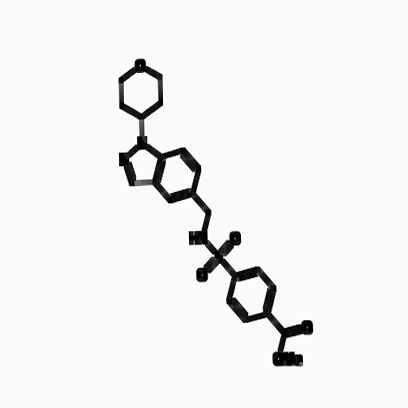 COC(=O)c1ccc(S(=O)(=O)NCc2ccc3c(cnn3C3CCOCC3)c2)cc1